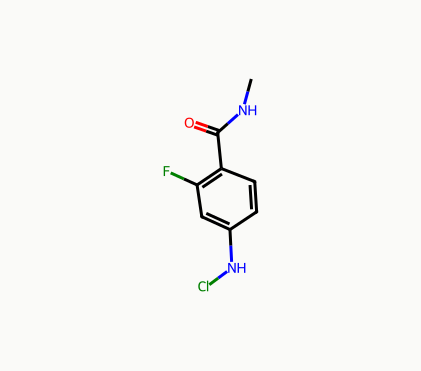 CNC(=O)c1ccc(NCl)cc1F